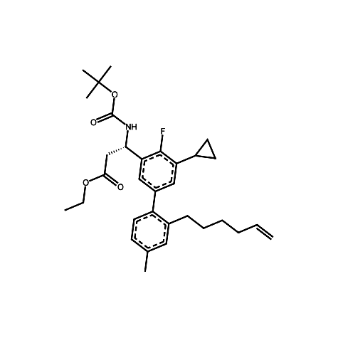 C=CCCCCc1cc(C)ccc1-c1cc(C2CC2)c(F)c([C@H](CC(=O)OCC)NC(=O)OC(C)(C)C)c1